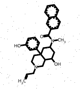 C=CCN1CCC2(c3cccc(O)c3)CC(N(C)C(=O)c3ccc4ccccc4c3)CC(O)C2C1